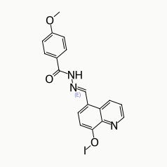 COc1ccc(C(=O)N/N=C/c2ccc(OI)c3ncccc23)cc1